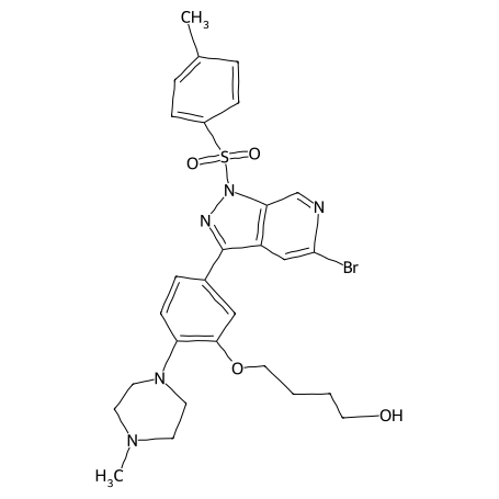 Cc1ccc(S(=O)(=O)n2nc(-c3ccc(N4CCN(C)CC4)c(OCCCCO)c3)c3cc(Br)ncc32)cc1